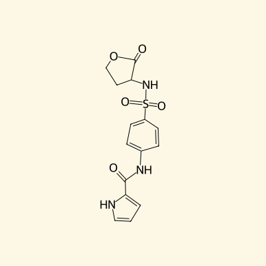 O=C(Nc1ccc(S(=O)(=O)NC2CCOC2=O)cc1)c1ccc[nH]1